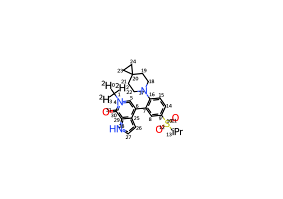 [2H]C([2H])([2H])n1cc(-c2cc(S(=O)(=O)C(C)C)ccc2N2CCC3(CC2)CC3)c2cc[nH]c2c1=O